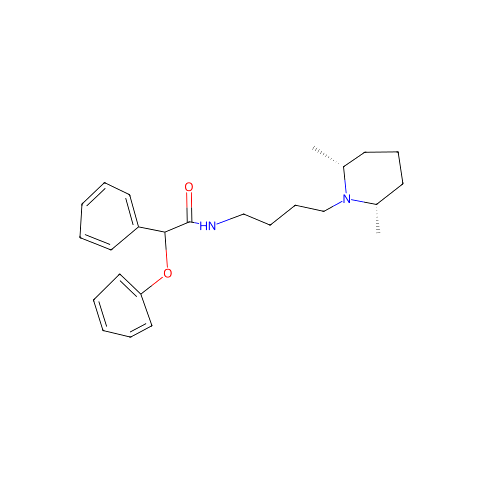 C[C@@H]1CCC[C@H](C)N1CCCCNC(=O)C(Oc1ccccc1)c1ccccc1